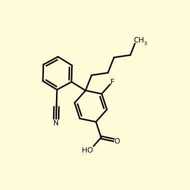 CCCCCC1(c2ccccc2C#N)C=CC(C(=O)O)C=C1F